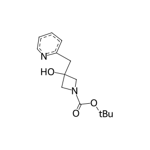 CC(C)(C)OC(=O)N1CC(O)(Cc2ccccn2)C1